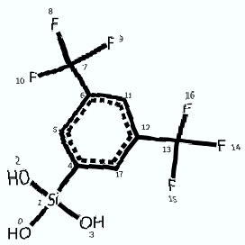 O[Si](O)(O)c1cc(C(F)(F)F)cc(C(F)(F)F)c1